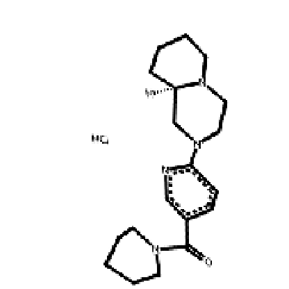 Cl.O=C(c1ccc(N2CCN3CCCC[C@@H]3C2)nc1)N1CCCCC1